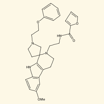 COc1ccc2[nH]c3c(c2c1)CCN(CCNC(=O)c1ccco1)C31CCN(CCOc2ccccc2)C1